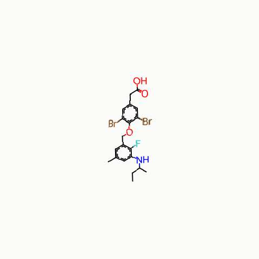 CCC(C)Nc1cc(C)cc(COc2c(Br)cc(CC(=O)O)cc2Br)c1F